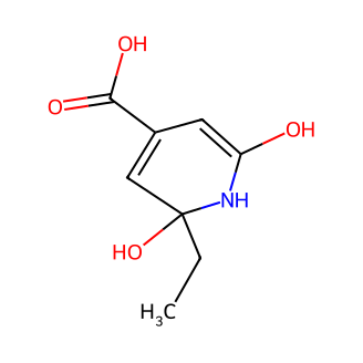 CCC1(O)C=C(C(=O)O)C=C(O)N1